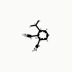 C[C](C)c1cccc(C#N)c1C#N